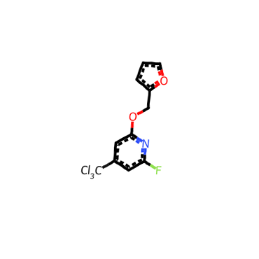 Fc1cc(C(Cl)(Cl)Cl)cc(OCc2ccco2)n1